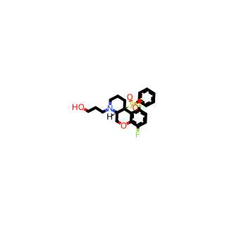 O=S(=O)(c1ccccc1)[C@@]12CCCN(CCCO)[C@@H]1COc1c(F)ccc(F)c12